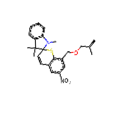 C=C(C)COCc1cc([N+](=O)[O-])cc2c1SC1(C=C2)N(C)c2ccccc2C1(C)C